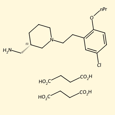 CCCOc1ccc(Cl)cc1CCN1CCC[C@@H](CN)C1.O=C(O)CCC(=O)O.O=C(O)CCC(=O)O